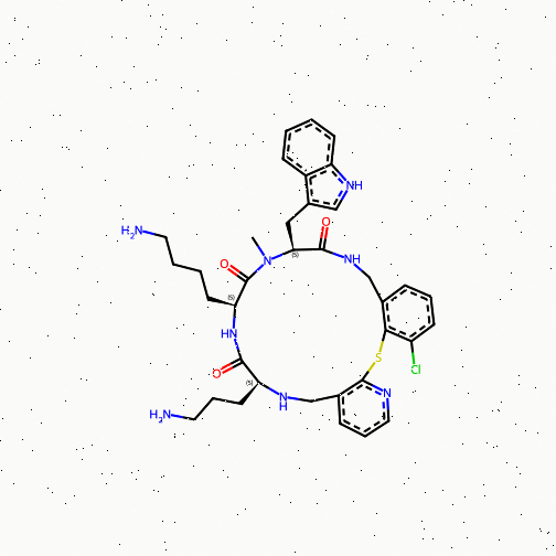 CN1C(=O)[C@H](CCCCN)NC(=O)[C@H](CCCN)NCc2cccnc2Sc2c(Cl)cccc2CNC(=O)[C@@H]1Cc1c[nH]c2ccccc12